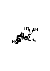 COc1ccc(-c2cncc(C#N)c2Nc2ccc3[nH]ccc3c2)cc1OCCN(CCO)CCO